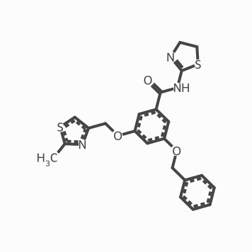 Cc1nc(COc2cc(OCc3ccccc3)cc(C(=O)NC3=NCCS3)c2)cs1